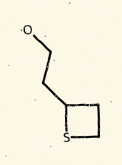 [O]CCC1CCS1